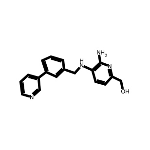 Nc1nc(CO)ccc1NCc1cccc(-c2cccnc2)c1